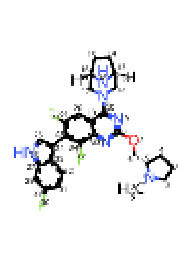 CN1CCC[C@H]1COc1nc(N2C[C@H]3CC[C@@H](C2)N3)c2cc(F)c(-c3c[nH]c4cc(F)ccc34)c(F)c2n1